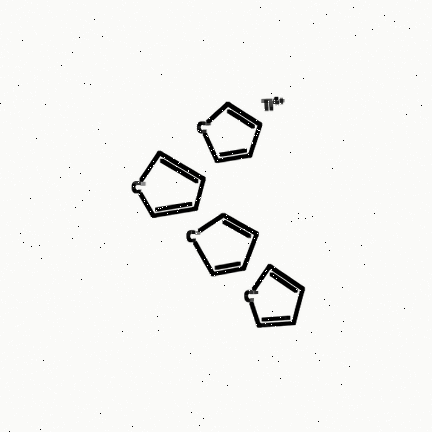 [Ti+4].c1cc[cH-]c1.c1cc[cH-]c1.c1cc[cH-]c1.c1cc[cH-]c1